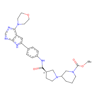 CC(C)(C)OC(=O)N1CCCC(N2CC[C@@H](C(=O)Nc3ccc(-c4cc5c(N6CCOCC6)ncnc5[nH]4)cc3)C2)C1